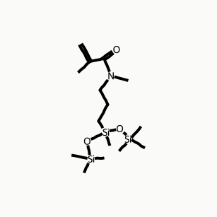 C=C(C)C(=O)N(C)CCC[Si](C)(O[Si](C)(C)C)O[Si](C)(C)C